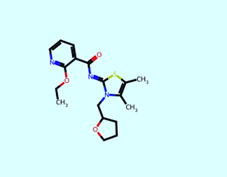 CCOc1ncccc1C(=O)N=c1sc(C)c(C)n1CC1CCCO1